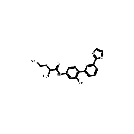 CSCCC(N)C(=O)Nc1ccc(-c2cccc(-c3ncco3)c2)c(C)c1